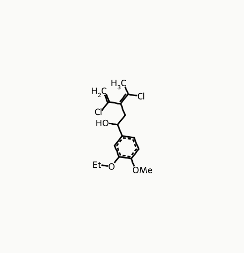 C=C(Cl)/C(CC(O)c1ccc(OC)c(OCC)c1)=C(\C)Cl